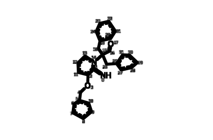 N=c1c(OCc2ccccc2)cccn1C(C=O)(Cc1ccccc1)Cc1ccccc1